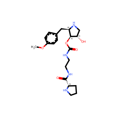 COc1ccc(C[C@H]2NC[C@H](O)[C@H]2OC(=O)NCCNC(=O)[C@@H]2CCCN2)cc1